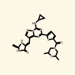 C=c1[nH]c(=O)/c(=C/c2cnn3c(NC4CC4)nc(-c4ccc(C(=O)N5CC(C)OC(C)C5)s4)nc23)[nH]1